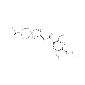 CC(C)C(=O)N1CCC2(CC1)CN/C(=C\C(=O)c1nc(Cl)c(N)nc1N)N2